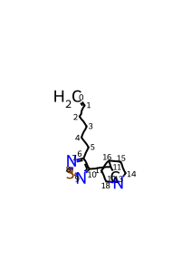 C=CCCCCc1nsnc1C1CN2CCC1CC2